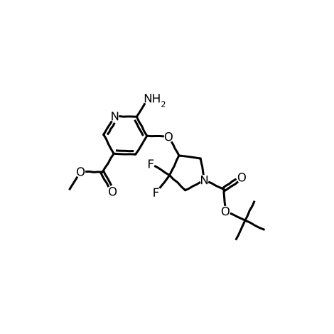 COC(=O)c1cnc(N)c(OC2CN(C(=O)OC(C)(C)C)CC2(F)F)c1